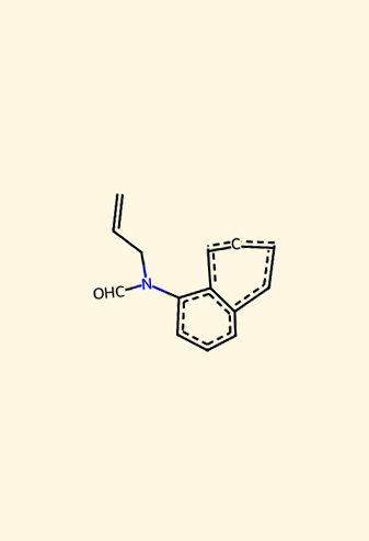 C=CCN(C=O)c1cccc2ccccc12